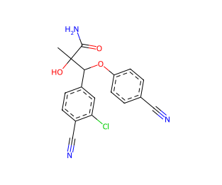 CC(O)(C(N)=O)C(Oc1ccc(C#N)cc1)c1ccc(C#N)c(Cl)c1